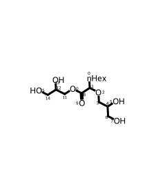 CCCCCCC(OCC(O)CO)C(=O)OCC(O)CO